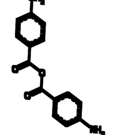 Nc1ccc(C(=O)OC(=O)c2ccc(N)cc2)cc1